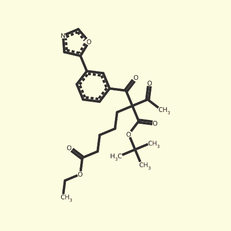 CCOC(=O)CCCCC(C(C)=O)(C(=O)OC(C)(C)C)C(=O)c1cccc(-c2cnco2)c1